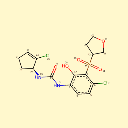 O=C(Nc1ccc(Cl)c(S(=O)(=O)C2CCOC2)c1O)N[C@H]1CCC=C1Cl